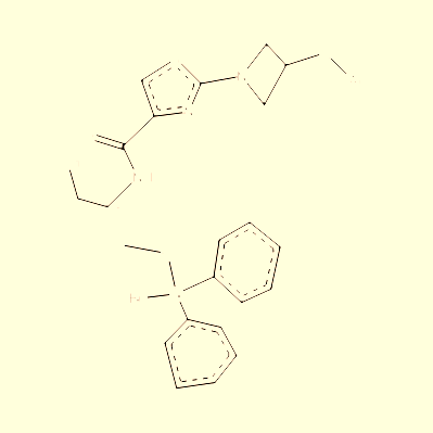 CC(=O)SC1CN(c2nc(C(=O)N[C@H](CO[Si](c3ccccc3)(c3ccccc3)C(C)(C)C)CC(C)C)cs2)C1